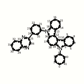 c1ccc(-n2c3ccccc3c3c4c5ccccc5n(-c5cccc(-c6cnc7ccccc7n6)c5)c4ccc32)cc1